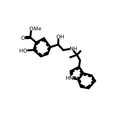 COC(=O)c1cc(C(O)CNC(C)(C)Cc2c[nH]c3ccccc23)ccc1O